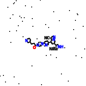 CN/C=C(\C=N)c1cc(-c2ccc(N3CCN(C(=O)CCc4cccnc4)CC3)nc2)c2c(C#N)cnn2c1